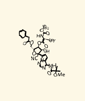 COC(C)(C)C(=O)Nc1ncnn2c([C@]3(C#N)O[C@H](COC(=O)Cc4ccccc4)[C@@H](OC(=O)[C@@H](NC(=O)OC(C)(C)C)C(C)C)[C@H]3O)ccc12